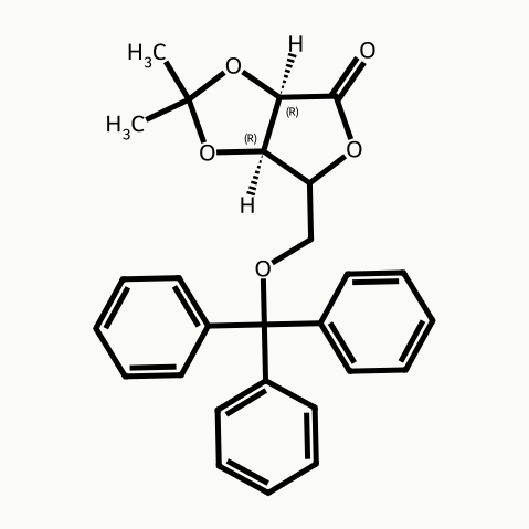 CC1(C)O[C@@H]2C(COC(c3ccccc3)(c3ccccc3)c3ccccc3)OC(=O)[C@@H]2O1